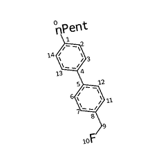 CCCCCc1ccc(-c2ccc(CF)cc2)cc1